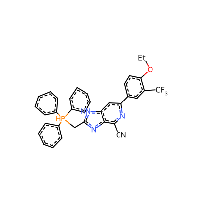 CCOc1ccc(-c2cc3[nH]c(C[PH](c4ccccc4)(c4ccccc4)c4ccccc4)nc3c(C#N)n2)cc1C(F)(F)F